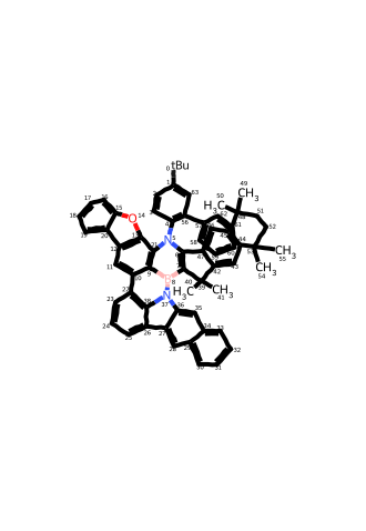 CC(C)(C)c1ccc(N2C3=C(B4c5c(cc6c(oc7ccccc76)c52)-c2cccc5c6cc7ccccc7cc6n4c25)C(C)(C)c2cc4c(cc23)C(C)(C)CCC4(C)C)c(-c2ccccc2)c1